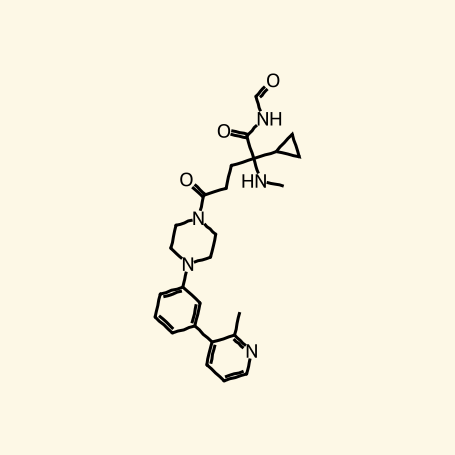 CNC(CCC(=O)N1CCN(c2cccc(-c3cccnc3C)c2)CC1)(C(=O)NC=O)C1CC1